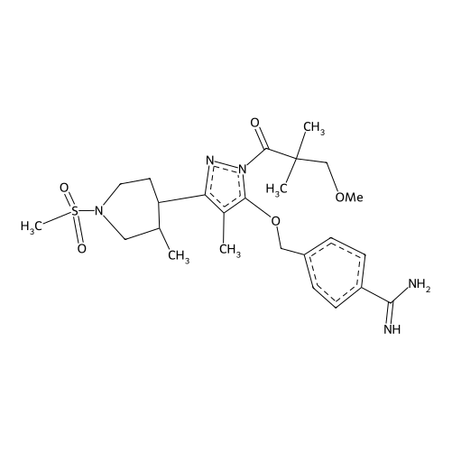 COCC(C)(C)C(=O)n1nc(C2CCN(S(C)(=O)=O)CC2C)c(C)c1OCc1ccc(C(=N)N)cc1